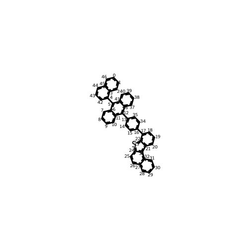 c1ccc2c(-c3c4ccccc4c(-c4ccc(-c5cccc6c5sc5ccc7ccccc7c56)cc4)c4ccccc34)cccc2c1